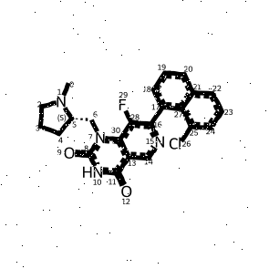 CN1CCC[C@H]1Cn1c(=O)[nH]c(=O)c2cnc(-c3cccc4cccc(Cl)c34)c(F)c21